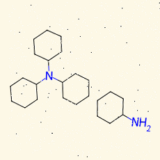 C1CCC(N(C2CCCCC2)C2CCCCC2)CC1.NC1CCCCC1